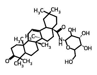 CC1(C)CC[C@]2(C(=O)N[C@H]3OC(CO)[C@@H](O)[C@@H](O)C3O)CC[C@]3(C)C(=CCC4[C@@]5(C)CCC(=O)C(C)(C)C5CC[C@]43C)C2C1